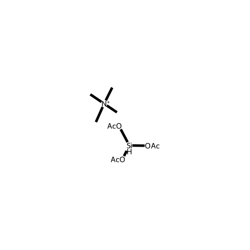 CC(=O)O[SiH](OC(C)=O)OC(C)=O.C[N+](C)(C)C